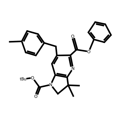 Cc1ccc(Cc2cc3c(nc2C(=O)Oc2ccccc2)C(C)(C)CN3C(=O)OC(C)(C)C)cc1